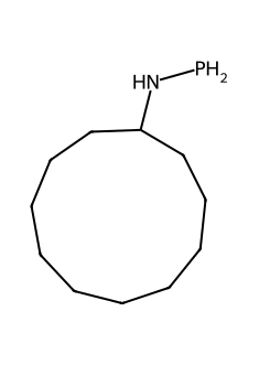 PNC1CCCCCCCCCC1